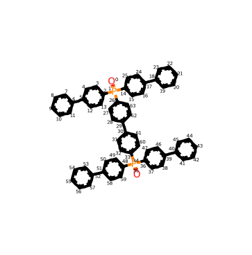 O=P(c1ccc(-c2ccccc2)cc1)(c1ccc(-c2ccccc2)cc1)c1ccc(-c2ccc(P(=O)(c3ccc(-c4ccccc4)cc3)c3ccc(-c4ccccc4)cc3)cc2)cc1